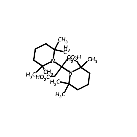 CC1(C)CCCC(C)(C)N1C(CC(=O)O)(C(=O)O)N1C(C)(C)CCCC1(C)C